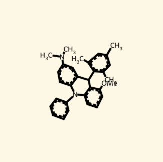 COc1cccc2c1C(c1c(C)cc(C)cc1C)c1cc(N(C)C)ccc1N2c1ccccc1